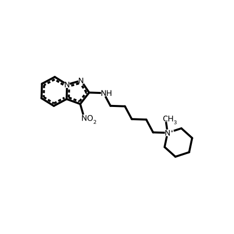 C[N+]1(CCCCCNc2nn3ccccc3c2[N+](=O)[O-])CCCCC1